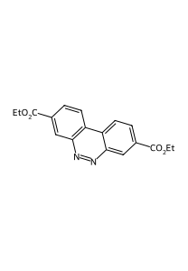 CCOC(=O)c1ccc2c(c1)nnc1cc(C(=O)OCC)ccc12